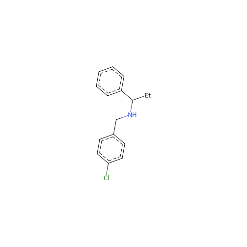 CCC(NCc1ccc(Cl)cc1)c1ccccc1